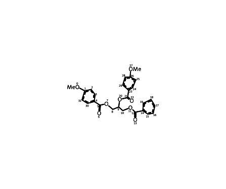 COc1ccc(C(=O)OCC(COC(=O)c2ccccc2)OC(=O)c2ccc(OC)cc2)cc1